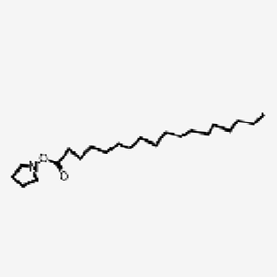 CCCCCCCCCCCCCCCCCC(=O)ON1CCCC1